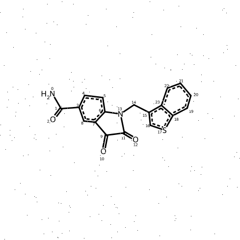 NC(=O)c1ccc2c(c1)C(=O)C(=O)N2Cc1csc2ccccc12